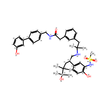 CC(C)(Cc1cccc(CC(=O)NCc2ccc(-c3cccc(O)c3)cc2)c1)NC[C@H](CC(C)(C)[Si](C)(C)O)c1ccc(O)c(NS(C)(=O)=O)c1